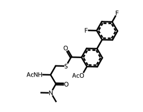 CC(=O)NC(CSC(=O)c1cc(-c2ccc(F)cc2F)ccc1OC(C)=O)C(=O)N(C)C